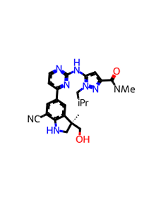 CNC(=O)c1cc(Nc2nccc(-c3cc(C#N)c4c(c3)[C@@](C)(CO)CN4)n2)n(CC(C)C)n1